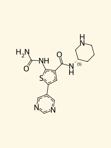 NC(=O)Nc1sc(-c2cncnc2)cc1C(=O)N[C@H]1CCCNC1